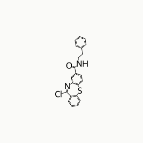 O=C(NCCc1ccccc1)c1ccc2c(c1)N=C(Cl)c1ccccc1S2